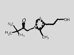 Cc1c(CCO)sc[n+]1CC(=O)C(C)(C)C